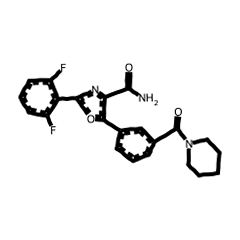 NC(=O)c1nc(-c2c(F)cccc2F)oc1-c1cccc(C(=O)N2CCCCC2)c1